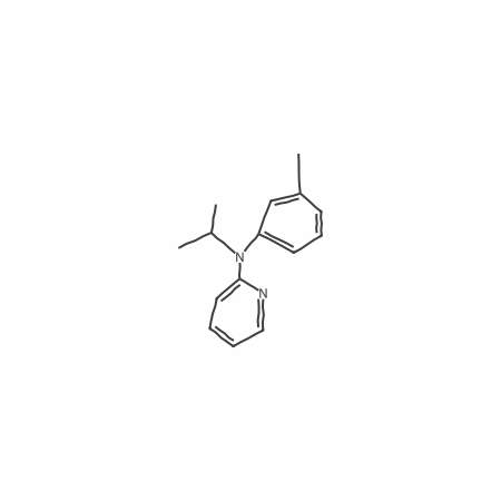 Cc1cccc(N(c2ccccn2)C(C)C)c1